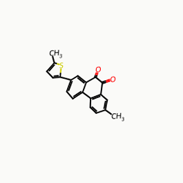 Cc1ccc2c(c1)C(=O)C(=O)c1cc(-c3ccc(C)s3)ccc1-2